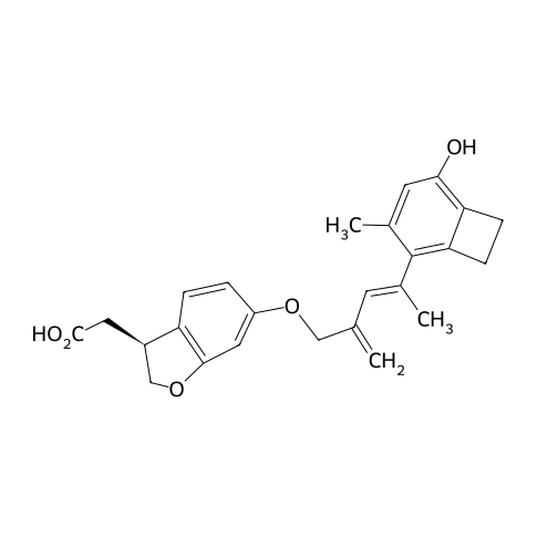 C=C(/C=C(\C)c1c(C)cc(O)c2c1CC2)COc1ccc2c(c1)OC[C@H]2CC(=O)O